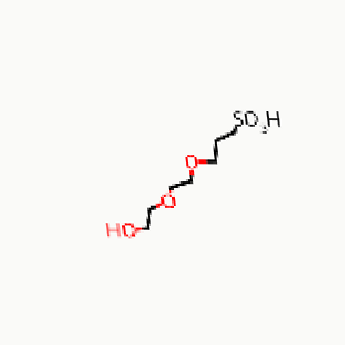 O=S(=O)(O)CCCOCCOCCO